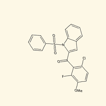 COc1ccc(Cl)c(C(=O)c2cc3ccccc3n2S(=O)(=O)c2ccccc2)c1F